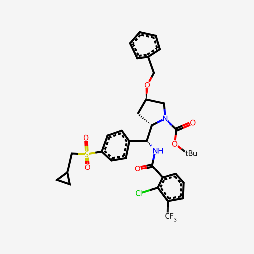 CC(C)(C)OC(=O)N1C[C@H](OCc2ccccc2)C[C@H]1[C@H](NC(=O)c1cccc(C(F)(F)F)c1Cl)c1ccc(S(=O)(=O)CC2CC2)cc1